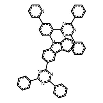 c1ccc(-c2nc(-c3ccccc3)nc(-c3ccc4c(c3)c3ccccc3n4-c3ccc(-c4ccccn4)cc3-c3nc(-c4ccccc4)nc(-c4ccccc4)n3)n2)cc1